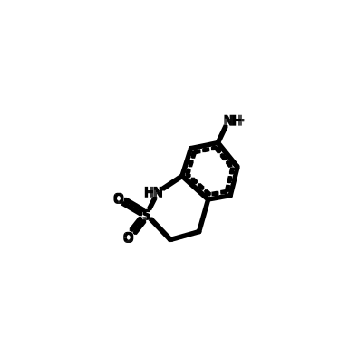 [NH]c1ccc2c(c1)NS(=O)(=O)CC2